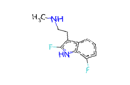 CNCCc1c(F)[nH]c2c(F)cccc12